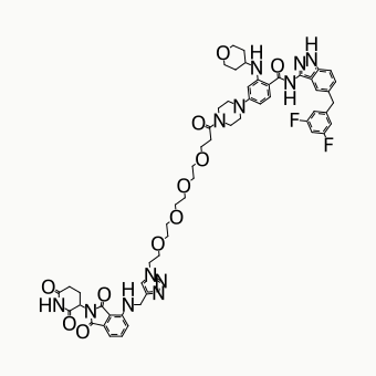 O=C1CCC(N2C(=O)c3cccc(NCc4cn(CCOCCOCCOCCOCCC(=O)N5CCN(c6ccc(C(=O)Nc7n[nH]c8ccc(Cc9cc(F)cc(F)c9)cc78)c(NC7CCOCC7)c6)CC5)nn4)c3C2=O)C(=O)N1